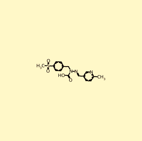 Cc1ccc(C=NN(Cc2ccc(S(C)(=O)=O)cc2)C(=O)O)cn1